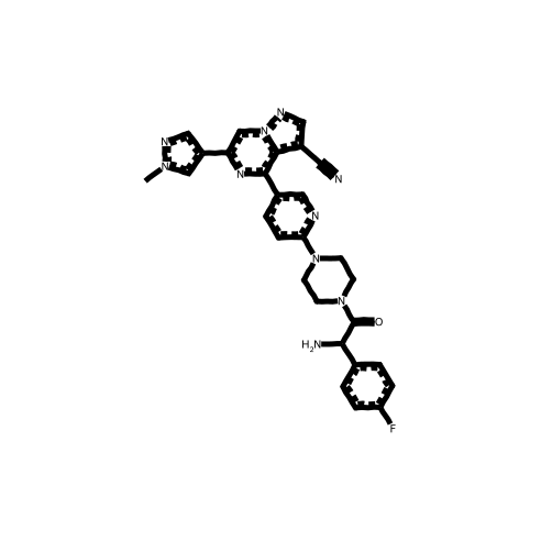 Cn1cc(-c2cn3ncc(C#N)c3c(-c3ccc(N4CCN(C(=O)C(N)c5ccc(F)cc5)CC4)nc3)n2)cn1